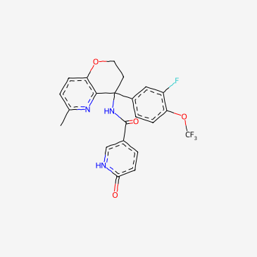 Cc1ccc2c(n1)C(NC(=O)c1ccc(=O)[nH]c1)(c1ccc(OC(F)(F)F)c(F)c1)CCO2